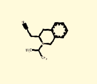 CC(C)N1Cc2ccccc2CC1CC#N